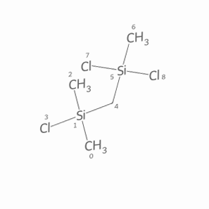 C[Si](C)(Cl)C[Si](C)(Cl)Cl